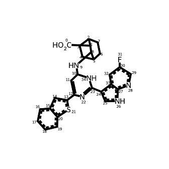 O=C(O)C1C2CCC(CC2)C1NC1C=C(c2cc3ccccc3s2)N=C(c2c[nH]c3ncc(F)cc23)N1